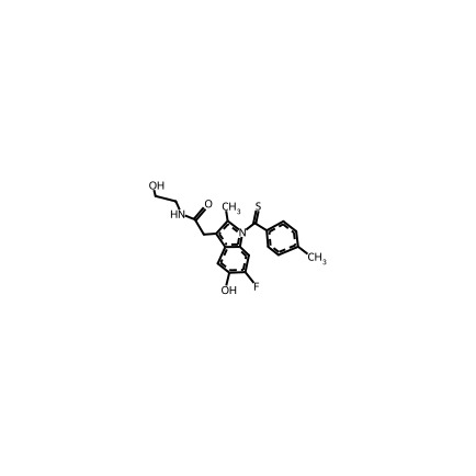 Cc1ccc(C(=S)n2c(C)c(CC(=O)NCCO)c3cc(O)c(F)cc32)cc1